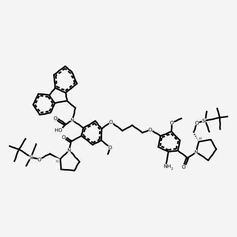 COc1cc(C(=O)N2CCC[C@H]2CO[Si](C)(C)C(C)(C)C)c(N)cc1OCCCOc1cc(N(CC2c3ccccc3-c3ccccc32)C(=O)O)c(C(=O)N2CCC[C@H]2CO[Si](C)(C)C(C)(C)C)cc1OC